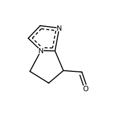 O=CC1CCn2ccnc21